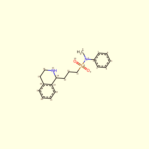 CN(c1ccccc1)S(=O)(=O)CCCC1NCCc2ccccc21